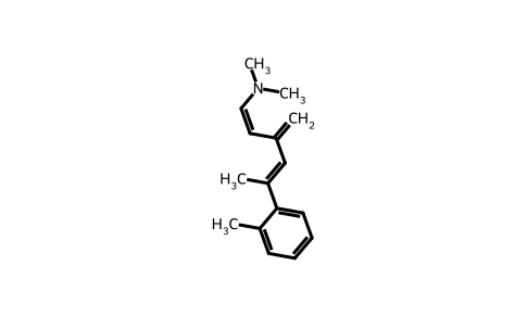 C=C(/C=C\N(C)C)/C=C(\C)c1ccccc1C